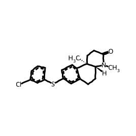 CN1C(=O)CC[C@]2(C)c3ccc(Sc4cccc(Cl)c4)cc3CC[C@@H]12